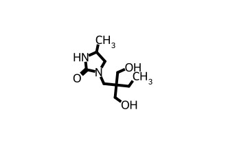 CCC(CO)(CO)CN1CC(C)NC1=O